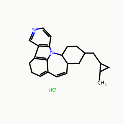 CC1CC1CC1CCC2C(C=CC3=CCCc4c3n2c2ccncc42)C1.Cl